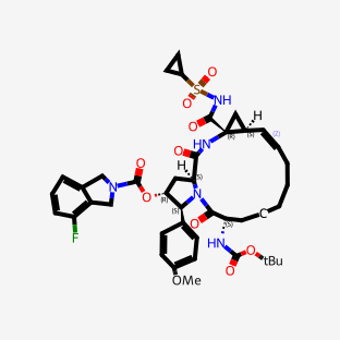 COc1ccc([C@H]2[C@H](OC(=O)N3Cc4cccc(F)c4C3)C[C@H]3C(=O)N[C@]4(C(=O)NS(=O)(=O)C5CC5)C[C@H]4/C=C\CCCCC[C@H](NC(=O)OC(C)(C)C)C(=O)N32)cc1